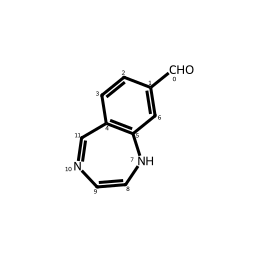 O=Cc1ccc2c(c1)NC=CN=C2